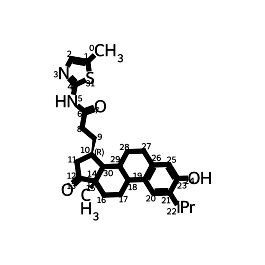 Cc1cnc(NC(=O)CC[C@@H]2CC(=O)[C@@]3(C)CCC4c5cc(C(C)C)c(O)cc5CCC4C23)s1